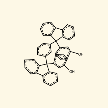 Oc1cccc(C2(c3cccc(C4(c5cccc(O)c5)c5ccccc5-c5ccccc54)c3)c3ccccc3-c3ccccc32)c1